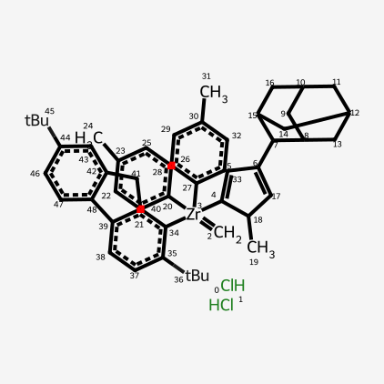 Cl.Cl.[CH2]=[Zr]([C]1=CC(C2C3CC4CC(C3)CC2C4)=CC1C)([c]1ccc(C)cc1)([c]1ccc(C)cc1)[c]1c(C(C)(C)C)ccc2c1Cc1cc(C(C)(C)C)ccc1-2